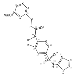 COc1cccc(CCC(=O)N2CCc3cc(S(=O)(=O)Nc4nccs4)ccc32)c1